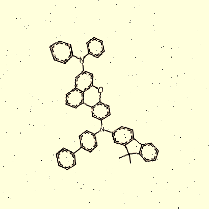 CC1(C)c2ccccc2-c2ccc(N(c3ccc(-c4ccccc4)cc3)c3ccc4c(c3)-c3cccc5cc(N(c6ccccc6)c6ccccc6)cc(c35)O4)cc21